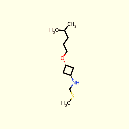 CSCN[C@H]1C[C@H](OCCCC(C)C)C1